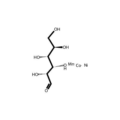 O=C[C@H](O)[C@@H](O)[C@H](O)[C@H](O)CO.[Co].[Mn].[Ni]